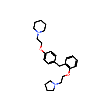 [c]1cccc(OCCN2CCCC2)c1Cc1ccc(OCCN2CCCCC2)cc1